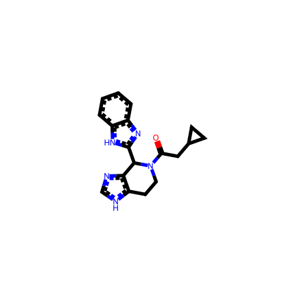 O=C(CC1CC1)N1CCc2[nH]cnc2C1c1nc2ccccc2[nH]1